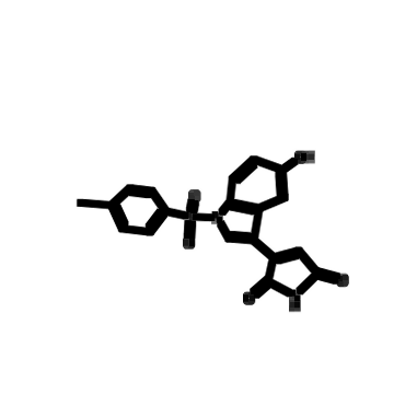 Cc1ccc(S(=O)(=O)n2cc(C3=CC(=O)NC3=O)c3cc(O)ccc32)cc1